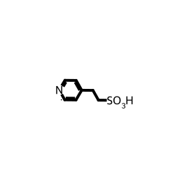 O=S(=O)(O)CCc1c[c]ncc1